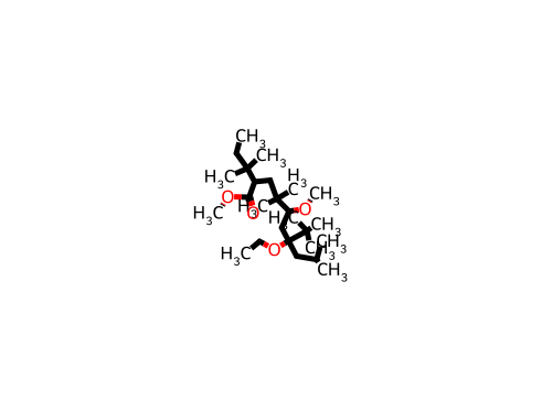 CCOC(CC(C)C)(CC(OC)C(C)(C)CC(C(=O)OC)C(C)(C)CC)C(C)(C)C